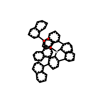 c1ccc(-c2ccc(-c3cccc4ccccc34)cc2N(c2ccc(-c3cccc4ccccc34)cc2)c2ccccc2-c2cccc3oc4c5ccccc5ccc4c23)cc1